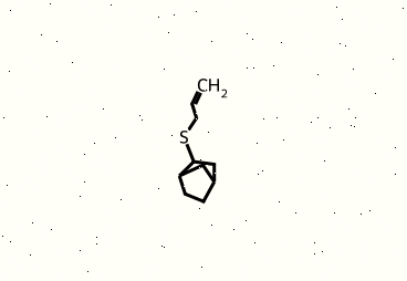 C=CCSC1CC2CCC1C2